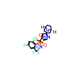 CC(C)(Oc1c(Cl)cc(F)cc1C(F)(F)F)C(=O)N[C@H]1C[C@H]2CC[C@@H](C1)N2c1ccc(S(N)(=O)=O)cn1